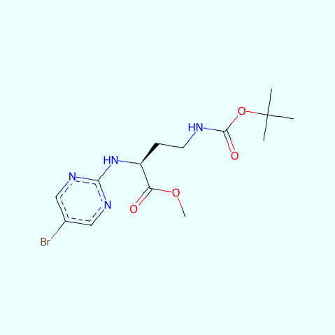 COC(=O)[C@H](CCNC(=O)OC(C)(C)C)Nc1ncc(Br)cn1